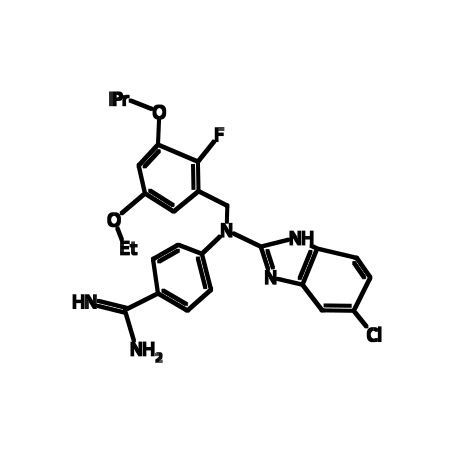 CCOc1cc(CN(c2ccc(C(=N)N)cc2)c2nc3cc(Cl)ccc3[nH]2)c(F)c(OC(C)C)c1